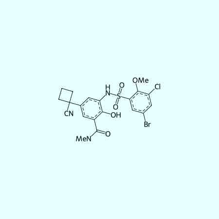 CNC(=O)c1cc(C2(C#N)CCC2)cc(NS(=O)(=O)c2cc(Br)cc(Cl)c2OC)c1O